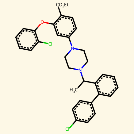 CCOC(=O)c1ccc(N2CCN(C(C)c3ccccc3-c3ccc(Cl)cc3)CC2)cc1Oc1ccccc1Cl